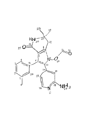 Cc1cccc(-c2c3c(n(OC=O)c2-c2ccnc(N)c2)CC(C)(C)NC3=O)c1